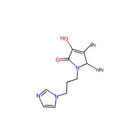 CCCC1C(C(C)C)=C(O)C(=O)N1CCCn1ccnc1